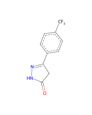 O=C1CC(c2ccc(C(F)(F)F)cc2)=NN1